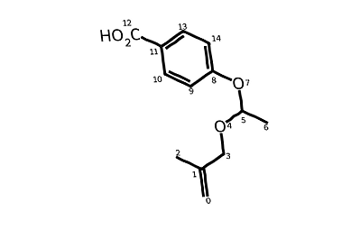 C=C(C)COC(C)Oc1ccc(C(=O)O)cc1